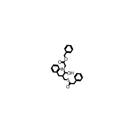 O=C(CNC(O)C(CSC(=O)Cc1ccccc1)Cc1ccccc1)OCc1ccccc1